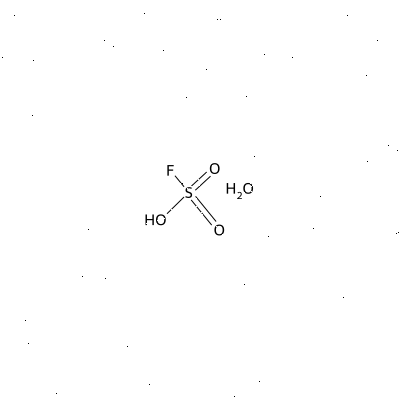 O.O=S(=O)(O)F